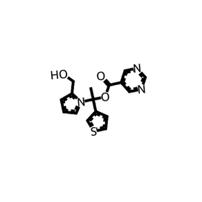 CC(OC(=O)c1cncnc1)(c1ccsc1)n1cccc1CO